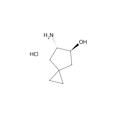 Cl.N[C@H]1CC2(CC2)C[C@@H]1O